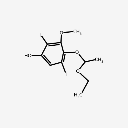 CCOC(C)Oc1c(I)cc(O)c(I)c1OC